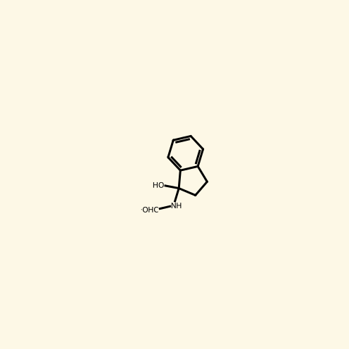 O=[C]NC1(O)CCc2ccccc21